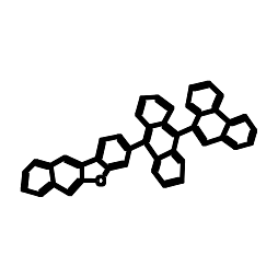 c1ccc2cc3c(cc2c1)oc1cc(-c2c4ccccc4c(-c4cc5ccccc5c5ccccc45)c4ccccc24)ccc13